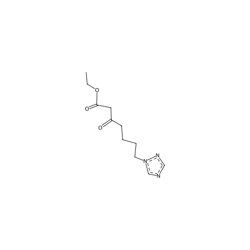 CCOC(=O)CC(=O)CCCCn1cncn1